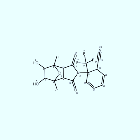 CC12OC(C)(C(O)C1O)C1C(=O)N(C3(C(F)(F)F)C=CC=CC3C#N)C(=O)C12